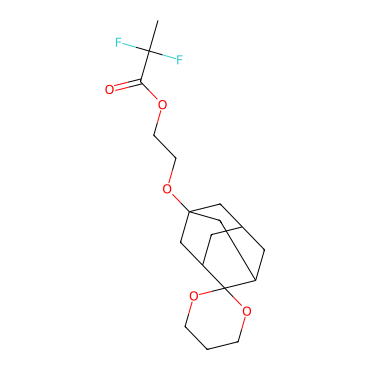 CC(F)(F)C(=O)OCCOC12CC3CC(C1)C1(OCCCO1)C(C3)C2